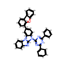 c1ccc(-c2nc(-c3ccccc3)nc(-n3c4ccc(-c5cccc6c5oc5ccccc56)cc4n4c5ccccc5nc34)n2)cc1